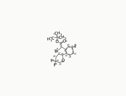 CC(C)(C)OC(=O)C(Br)c1cc(F)ccc1C1CCC(F)(F)CO1